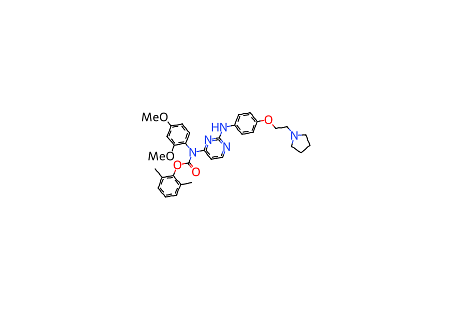 COc1ccc(N(C(=O)Oc2c(C)cccc2C)c2ccnc(Nc3ccc(OCCN4CCCC4)cc3)n2)c(OC)c1